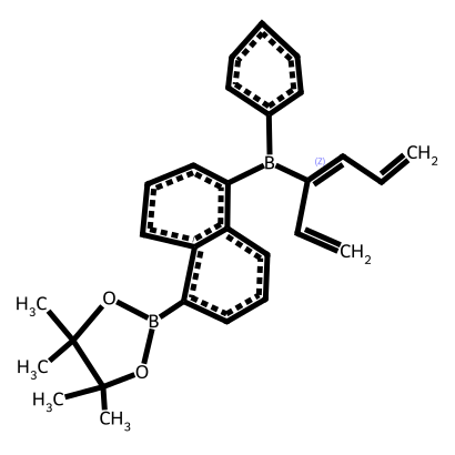 C=C/C=C(\C=C)B(c1ccccc1)c1cccc2c(B3OC(C)(C)C(C)(C)O3)cccc12